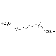 CC(C)(CCCCCCC(C)(C)CCC(=O)O)CCC(=O)O